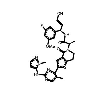 COc1cc(F)cc([C@@H](/C=C/O)NC(=O)[C@@H](C)N2CCc3sc(-c4nc(Nc5ccnn5C)ncc4C)cc3C2=O)c1